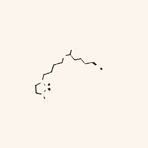 C=C=CCCCC(CCC)OCCCCN1CCN(C)S1(=O)=O